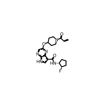 C=CC(=O)N1CCC(Oc2cnc3[nH]cc(C(=O)N[C@@H]4CCC[C@H]4F)c3n2)CC1